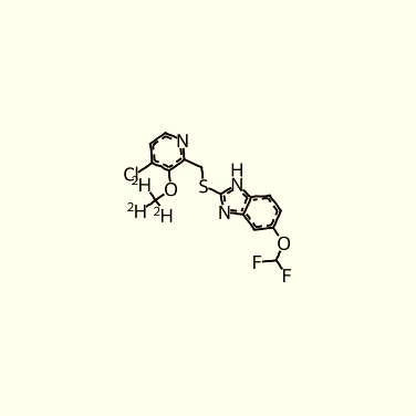 [2H]C([2H])([2H])Oc1c(Cl)ccnc1CSc1nc2cc(OC(F)F)ccc2[nH]1